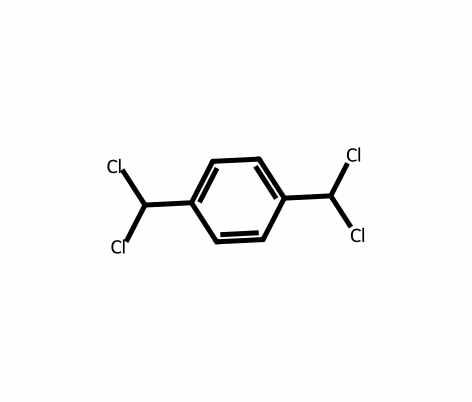 ClC(Cl)c1ccc(C(Cl)Cl)cc1